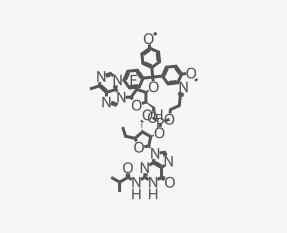 CCC1O[C@@H](n2cnc3c(=O)[nH]c(NC(=O)C(C)C)nc32)[C@@H](OP(OCCC#N)OC[C@H]2OC(n3cnc4c(C)ncnc43)[C@@H](F)[C@H]2OC(c2ccccc2)(c2ccc(OC)cc2)c2ccc(OC)cc2)[C@H]1CO